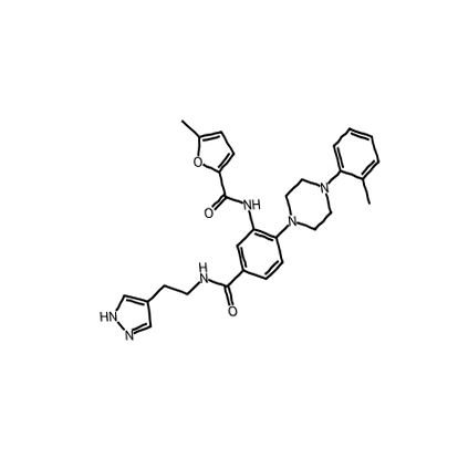 Cc1ccc(C(=O)Nc2cc(C(=O)NCCc3cn[nH]c3)ccc2N2CCN(c3ccccc3C)CC2)o1